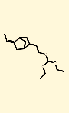 CC=C1CC2CC1CC2CCOC(OCC)OCC